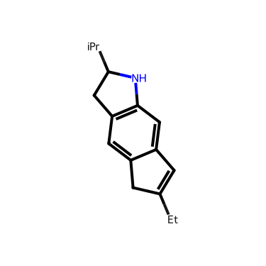 CCC1=Cc2cc3c(cc2C1)CC(C(C)C)N3